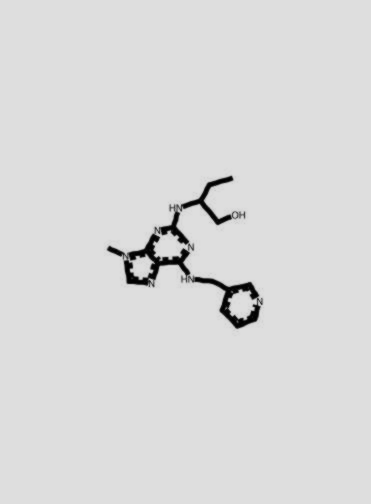 CCC(CO)Nc1nc(NCc2cccnc2)c2ncn(C)c2n1